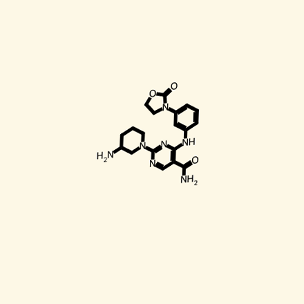 NC(=O)c1cnc(N2CCCC(N)C2)nc1Nc1cccc(N2CCOC2=O)c1